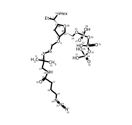 CCCCCCC(CC)[C@H]1CC(OCSSC(C)(C)CNC(=O)CCCN=[N+]=[N-])[C@@H](COP(=O)(O)OP(=O)(O)OP(=O)(O)O)O1